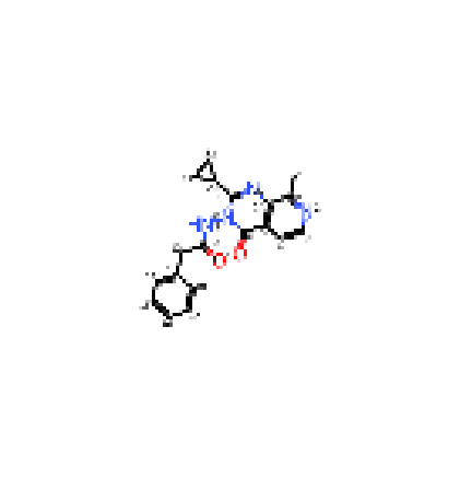 Cc1nccc2c(=O)n(NC(=O)Cc3ccccc3)c(C3CC3)nc12